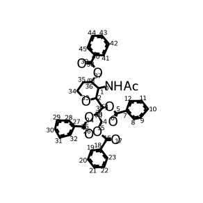 CC(=O)NC1C([C@H](OC(=O)c2ccccc2)[C@@H](COC(=O)c2ccccc2)OC(=O)c2ccccc2)OCC[C@H]1OC(=O)c1ccccc1